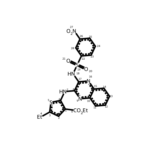 CCOC(=O)c1cc(CC)sc1Nc1nc2ccccc2nc1NS(=O)(=O)c1cccc([N+](=O)[O-])c1